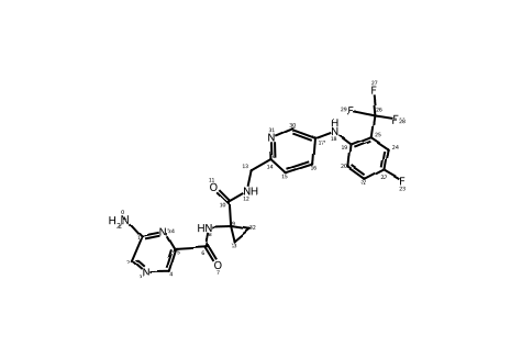 Nc1cncc(C(=O)NC2(C(=O)NCc3ccc(Nc4ccc(F)cc4C(F)(F)F)cn3)CC2)n1